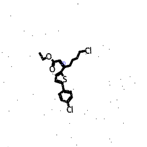 CCOC(=O)/C=C(/CCCCCl)c1ccc(-c2ccc(Cl)cc2)s1